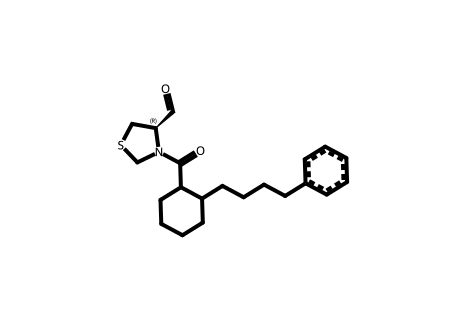 O=C[C@@H]1CSCN1C(=O)C1CCCCC1CCCCc1ccccc1